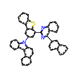 c1ccc2cc(-c3nc(-c4cc(-n5c6ccccc6c6c7ccccc7ccc65)cc5c4sc4ccccc45)nc4ccccc34)ccc2c1